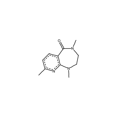 Cc1ccc2c(n1)N(C)CCN(C)C2=O